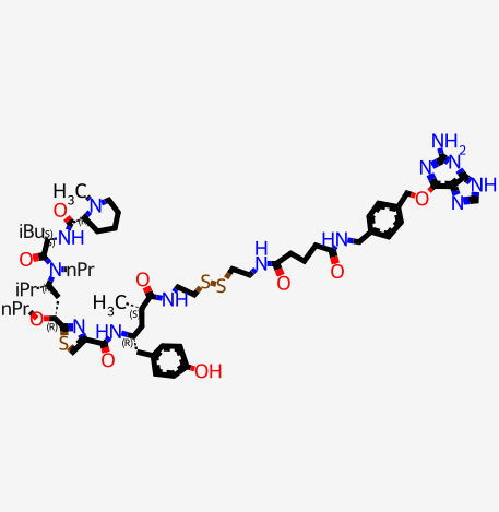 CCCO[C@H](C[C@H](C(C)C)N(CCC)C(=O)[C@@H](NC(=O)[C@H]1CCCCN1C)[C@@H](C)CC)c1nc(C(=O)N[C@@H](Cc2ccc(O)cc2)C[C@H](C)C(=O)NCCSSCCNC(=O)CCCC(=O)NCc2ccc(COc3nc(N)nc4[nH]cnc34)cc2)cs1